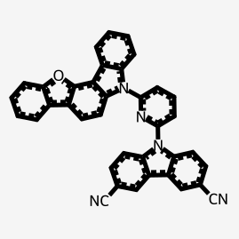 N#Cc1ccc2c(c1)c1cc(C#N)ccc1n2-c1cccc(-n2c3ccccc3c3c4oc5ccccc5c4ccc32)n1